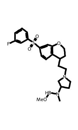 COBN(C)C1CCN(CCC2CCOc3cc(S(=O)(=O)c4cccc(F)c4)ccc32)C1